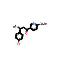 CCCC(CC(=O)c1ccc(OC)nc1)c1ccc(Br)cc1